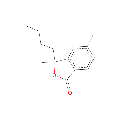 CCCCC1(C)OC(=O)c2ccc(C)cc21